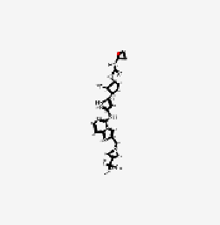 O=C(NC12CC(C1)C2)O[C@H]1CC[C@@H](c2cc(Nc3nccc4nc(CN5CC(C(F)(F)F)C5)cn34)n[nH]2)[C@H]1F